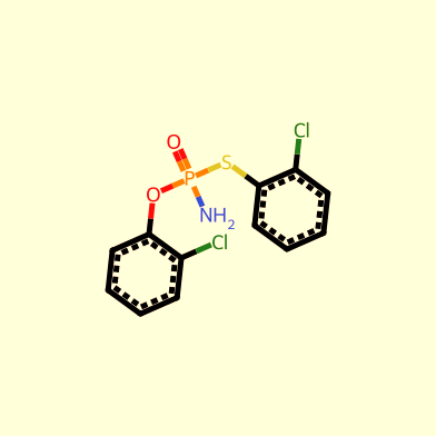 NP(=O)(Oc1ccccc1Cl)Sc1ccccc1Cl